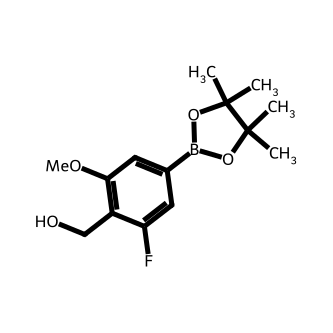 COc1cc(B2OC(C)(C)C(C)(C)O2)cc(F)c1CO